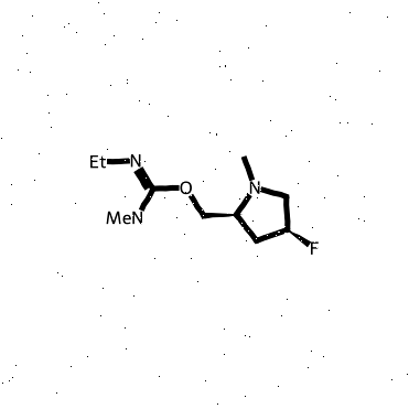 CC/N=C(\NC)OC[C@@H]1C[C@H](F)CN1C